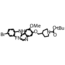 COc1cc2c(Nc3ccc(Br)cc3F)ncnc2cc1OCC1CCN(C(=O)OC(C)(C)C)CC1